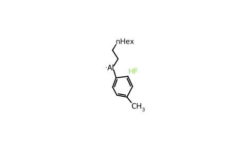 CCCCCCC[CH2][Al][c]1ccc(C)cc1.F